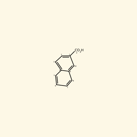 O=C(O)c1ccc2[c]cccc2c1